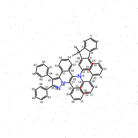 CC1(C)c2ccccc2-c2ccc(N(c3ccccc3-c3ccccc3)c3c(-c4ccccc4)n4nc(-c5ccccc5)c(-c5ccccc5)c4c4ccccc34)cc21